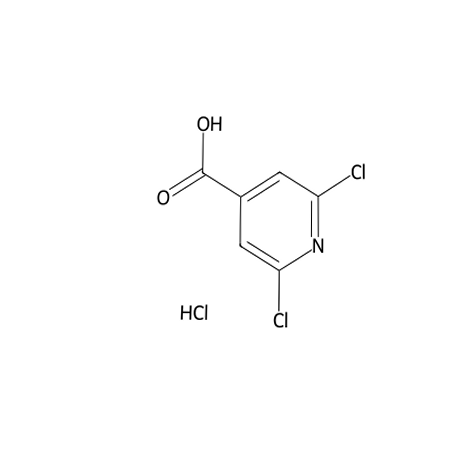 Cl.O=C(O)c1cc(Cl)nc(Cl)c1